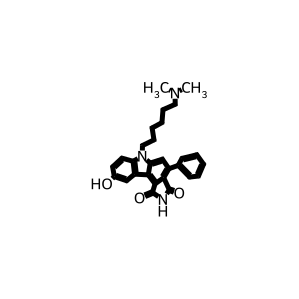 CN(C)CCCCCCn1c2ccc(O)cc2c2c3c(c(-c4ccccc4)cc21)C(=O)NC3=O